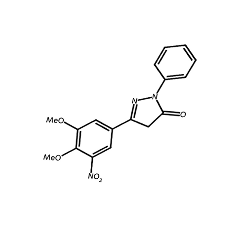 COc1cc(C2=NN(c3ccccc3)C(=O)C2)cc([N+](=O)[O-])c1OC